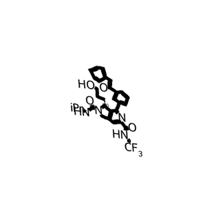 CC(C)NC(=O)N1Cc2cc(C(=O)NCC(F)(F)F)nc(-c3cccc(-c4cc5ccccc5o4)c3)c2[C@H]1CCCO